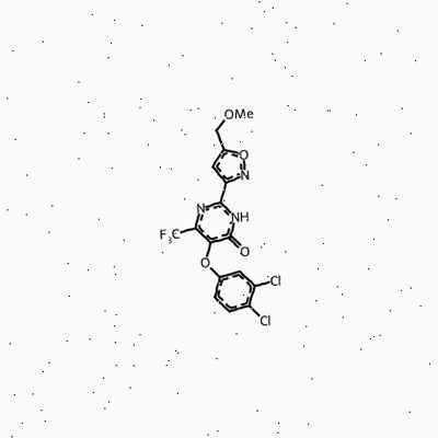 COCc1cc(-c2nc(C(F)(F)F)c(Oc3ccc(Cl)c(Cl)c3)c(=O)[nH]2)no1